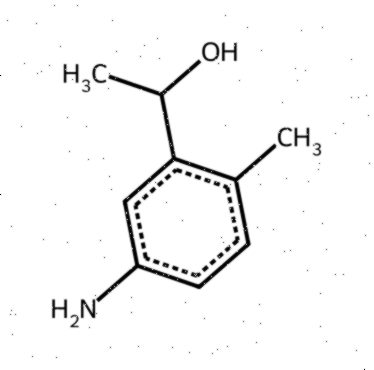 Cc1ccc(N)cc1C(C)O